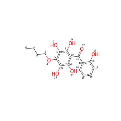 CCCCOc1c(O)c(O)c(C(=O)c2ccccc2O)c(O)c1O